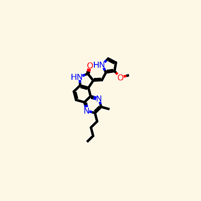 CCCCc1nc2ccc3c(c2nc1C)C(=Cc1[nH]ccc1OC)C(=O)N3